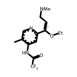 CCO/C(=C/CNC)c1cc(NC(=O)C(F)(F)F)c(C)cn1